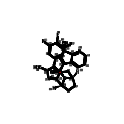 Cn1nc2c(c1-c1cc(F)c(F)c(F)c1)C[C@H]1CC[C@@H]2N1C(=O)c1cn(C)c2ncccc12